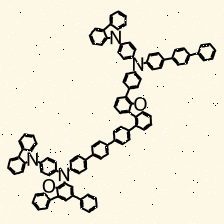 c1ccc(-c2ccc(-c3ccc(N(c4ccc(-c5cccc6c5oc5cccc(-c7ccc(-c8ccc(-c9ccc(N(c%10ccc(-n%11c%12ccccc%12c%12ccccc%12%11)cc%10)c%10cc(-c%11ccccc%11)cc%11c%10oc%10ccccc%10%11)cc9)cc8)cc7)c56)cc4)c4ccc(-n5c6ccccc6c6ccccc65)cc4)cc3)cc2)cc1